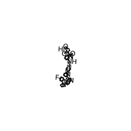 Cn1c(=O)n(C2CCC(=O)NC2=O)c2cccc(NCCN3CCN(c4cccc(-c5cnc6ccc(N7CCC[C@@H]7c7cccc(F)c7)nn56)n4)CC3)c21